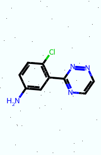 Nc1ccc(Cl)c(-c2nccnn2)c1